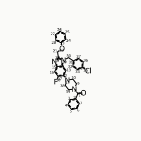 O=C(c1ccccc1)N1CCN(c2cc3c(cc2F)nc(COc2ccccc2)n3Cc2ccc(Cl)cc2)CC1